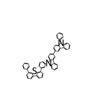 c1ccc(-c2cccc3c2sc2c(-c4cccc(-n5c6ccccc6c6cc(-c7ccc8c(c7)c7ccccc7n8-c7ccccc7)ccc65)c4)cccc23)cc1